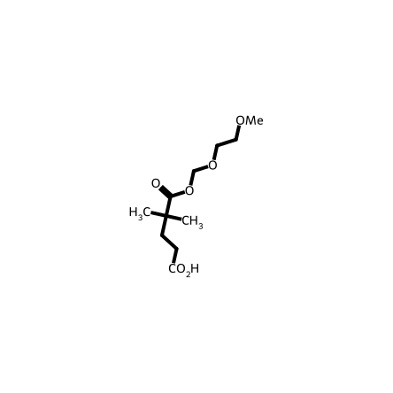 COCCOCOC(=O)C(C)(C)CCC(=O)O